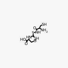 NC(CS)C(=O)NSC1=[SH]OCC(C(=O)O)N1